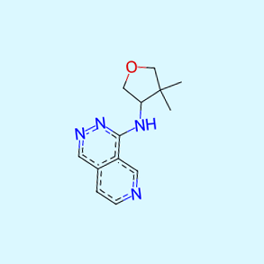 CC1(C)COCC1Nc1nncc2ccncc12